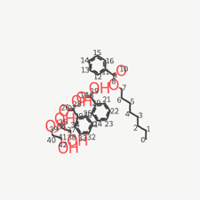 CCCCCCCCOC(=O)c1ccccc1.O=C(O)c1ccccc1.O=C(O)c1ccccc1.OCCO.OCCO